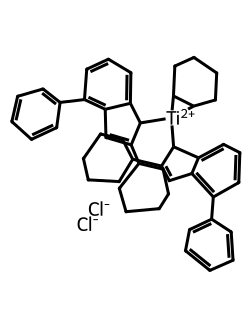 C1=C(C2CCCCC2)[CH]([Ti+2]2([CH]3C(C4CCCCC4)=Cc4c(-c5ccccc5)cccc43)[CH]3CCCC[CH]32)c2cccc(-c3ccccc3)c21.[Cl-].[Cl-]